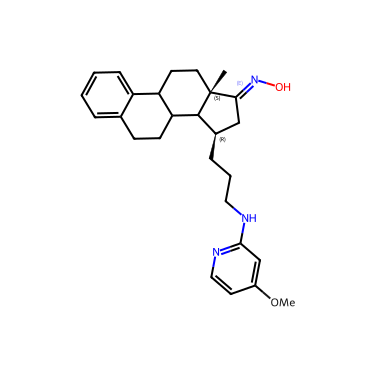 COc1ccnc(NCCC[C@@H]2C/C(=N\O)[C@@]3(C)CCC4c5ccccc5CCC4C23)c1